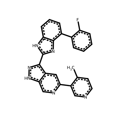 Cc1ccncc1-c1cc2c(-c3nc4c(-c5ccccc5F)cccc4[nH]3)n[nH]c2cn1